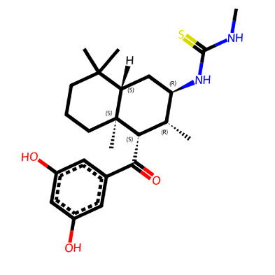 CNC(=S)N[C@@H]1C[C@H]2C(C)(C)CCC[C@]2(C)[C@@H](C(=O)c2cc(O)cc(O)c2)[C@H]1C